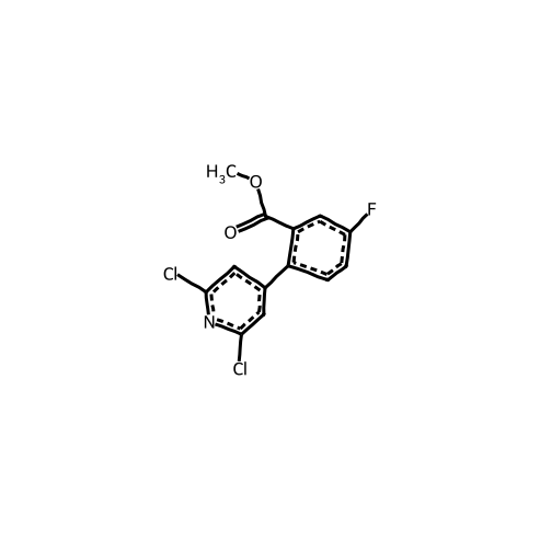 COC(=O)c1cc(F)ccc1-c1cc(Cl)nc(Cl)c1